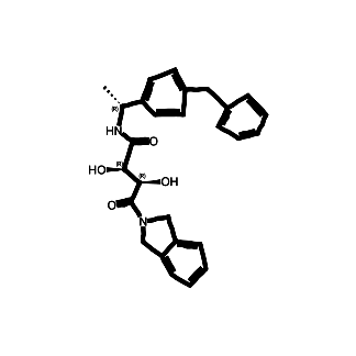 C[C@@H](NC(=O)[C@H](O)[C@@H](O)C(=O)N1Cc2ccccc2C1)c1ccc(Cc2ccccc2)cc1